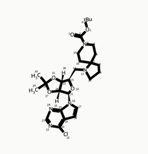 CC(C)(C)OC(=O)N1CCC2(CCCN2C[C@H]2O[C@@H](n3ccc4c(Cl)ncnc43)[C@@H]3OC(C)(C)O[C@@H]32)CC1